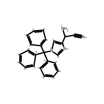 N#CC(N)c1cn(C(c2ccccc2)(c2ccccc2)c2ccccc2)cn1